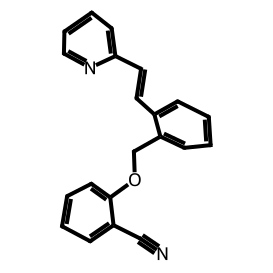 N#Cc1ccccc1OCc1ccccc1/C=C/c1ccccn1